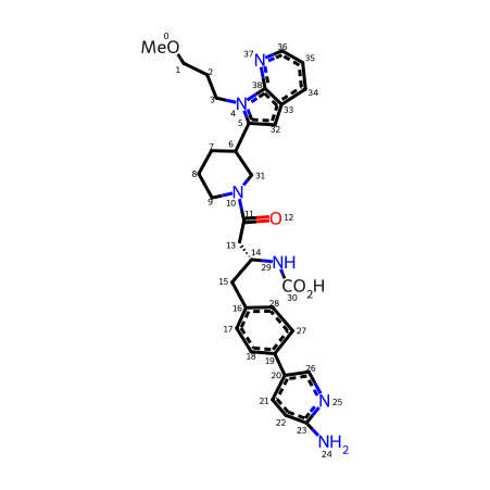 COCCCn1c(C2CCCN(C(=O)C[C@@H](Cc3ccc(-c4ccc(N)nc4)cc3)NC(=O)O)C2)cc2cccnc21